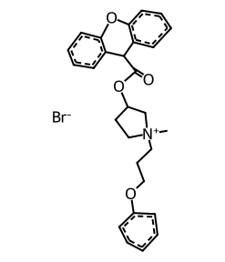 C[N+]1(CCCOc2ccccc2)CCC(OC(=O)C2c3ccccc3Oc3ccccc32)C1.[Br-]